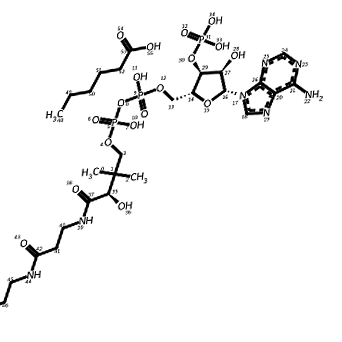 CC(C)(COP(=O)(O)OP(=O)(O)OC[C@H]1O[C@@H](n2cnc3c(N)ncnc32)[C@H](O)[C@@H]1OP(=O)(O)O)[C@@H](O)C(=O)NCCC(=O)NCCS.CCCCCC(=O)O